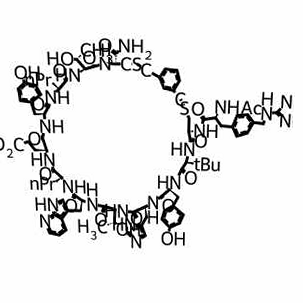 CCC[C@@H]1NC(=O)[C@H](Cc2c[nH]c3ncccc23)NC(=O)[C@H]([C@@H](C)O)NC(=O)[C@H](Cc2cnc[nH]2)NC(=O)[C@H](Cc2ccc(O)cc2)NC(=O)[C@H](C(C)(C)C)NC(=O)[C@@H](NC(=O)[C@H](Cc2ccc(CNC(=N)N)cc2)NC(C)=O)CSCc2cccc(c2)CSC[C@@H](C(N)=O)NC(=O)[C@H]([C@@H](C)O)NC(=O)[C@H](CCC)NC(=O)[C@H](Cc2ccc(O)cc2)NC(=O)[C@H](CCC(=O)O)NC1=O